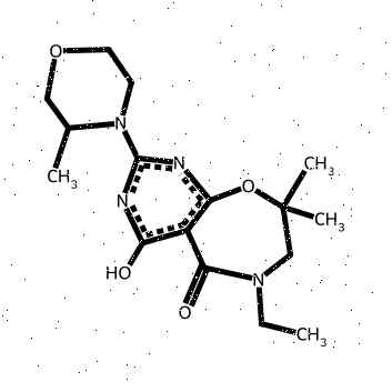 CCN1CC(C)(C)Oc2nc(N3CCOCC3C)nc(O)c2C1=O